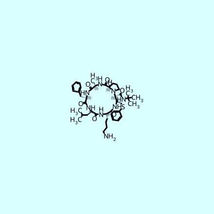 CC(C)C[C@H]1NC(=O)[C@H](Cc2ccccc2)NC(=O)[C@H](C)NC(=O)[C@@H]2CCCN2[C@H](C(=O)NC(C)(C)C)[C@H](CSc2ccccc2)NC(=O)[C@H](CCCCN)NC1=O